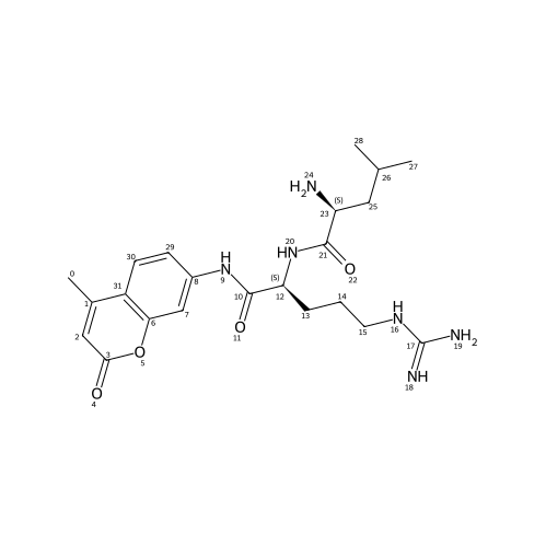 Cc1cc(=O)oc2cc(NC(=O)[C@H](CCCNC(=N)N)NC(=O)[C@@H](N)CC(C)C)ccc12